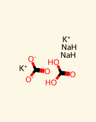 O=C(O)O.O=C([O-])[O-].[K+].[K+].[NaH].[NaH]